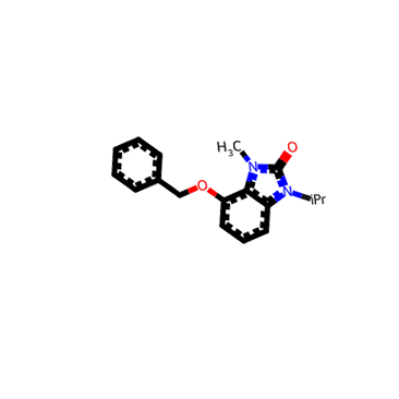 CC(C)n1c(=O)n(C)c2c(OCc3ccccc3)cccc21